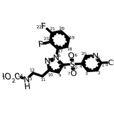 Cc1ccc(S(=O)(=O)c2cc(CCNC(=O)O)nn2-c2cccc(F)c2F)cn1